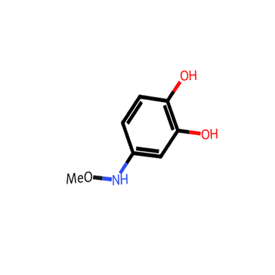 CONc1ccc(O)c(O)c1